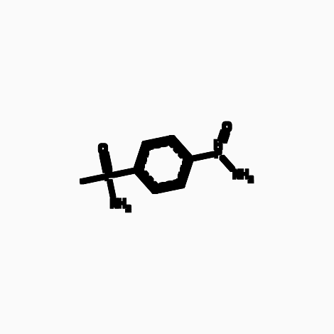 CP(N)(=O)c1ccc([PH](N)=O)cc1